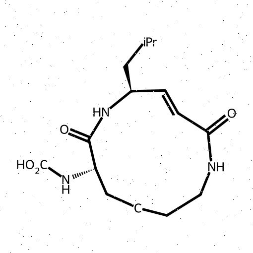 CC(C)C[C@H]1/C=C/C(=O)NCCCC[C@H](NC(=O)O)C(=O)N1